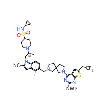 CNc1nc(N2CCC3(CCN(Cc4ccc5c(cc(C#N)n5C[C@H](C)N5CCC(S(=O)(=O)NC6CC6)CC5)c4C)C3)C2)c2cc(CC(F)(F)F)sc2n1